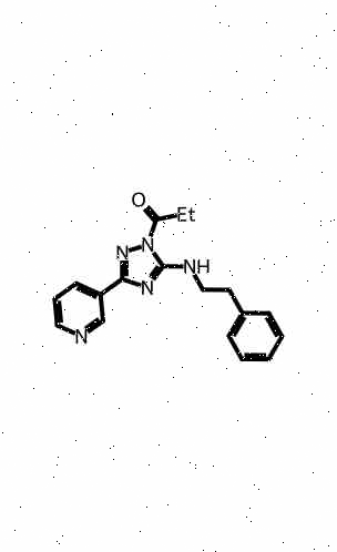 CCC(=O)n1nc(-c2cccnc2)nc1NCCc1ccccc1